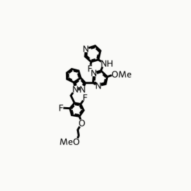 COCCOc1cc(F)c(Cn2nc(-c3ncc(OC)c(Nc4ccncc4F)n3)c3ccccc32)c(F)c1